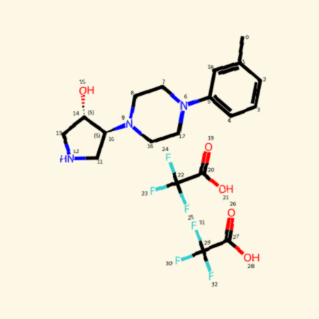 Cc1cccc(N2CCN([C@H]3CNC[C@@H]3O)CC2)c1.O=C(O)C(F)(F)F.O=C(O)C(F)(F)F